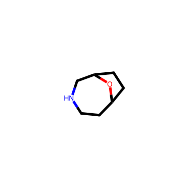 C1CC2CCC(CN1)O2